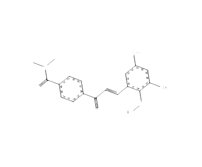 CC(C)Oc1c(C=CC(=O)c2ccc(C(=O)N(C)C)cc2)cc(C(C)(C)C)cc1C(C)(C)C